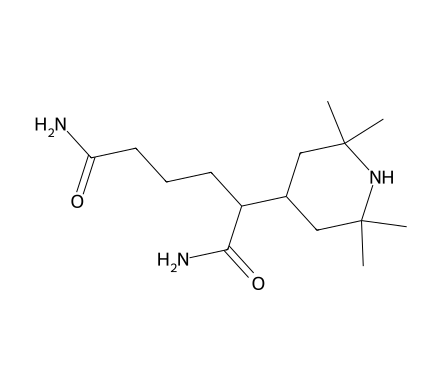 CC1(C)CC(C(CCCC(N)=O)C(N)=O)CC(C)(C)N1